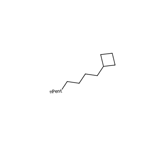 CCCCCCCCCC1CCC1